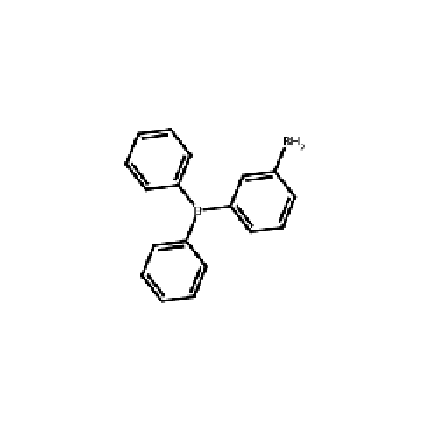 Bc1cccc(B(c2ccccc2)c2ccccc2)c1